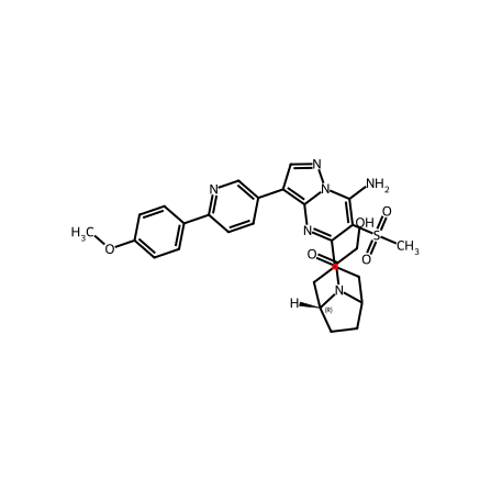 COc1ccc(-c2ccc(-c3cnn4c(N)c(S(C)(=O)=O)c(C5CC6CC[C@H](C5)N6C(=O)CO)nc34)cn2)cc1